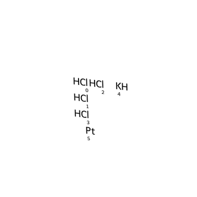 Cl.Cl.Cl.Cl.[KH].[Pt]